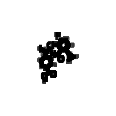 COC(=O)C1CCc2c(I)nn(C(=O)c3c(C4CC4)ccc(F)c3Cl)c2C1